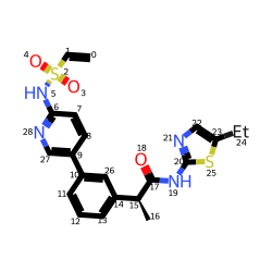 C=CS(=O)(=O)Nc1ccc(-c2cccc([C@H](C)C(=O)Nc3ncc(CC)s3)c2)cn1